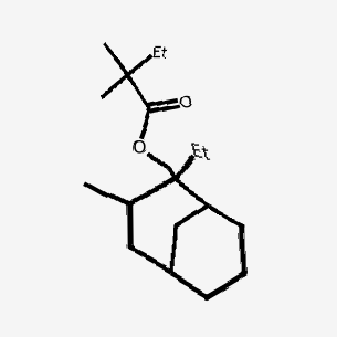 CCC(C)(C)C(=O)OC1(CC)C(C)CC2CCCC1C2